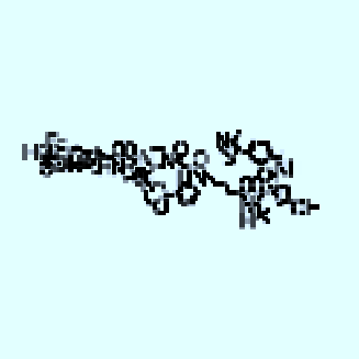 Cc1ncsc1-c1ccc([C@H](C)NC(=O)[C@@H]2C[C@@H](O)CN2C(=O)C(NC(=O)CCCCNC(=O)CC(=O)N2CCN(C(=O)C(NC(=O)c3cc4cc(C(F)(F)P(=O)(O)O)ccc4s3)C(C)(C)C)C(C(=O)N3CCOC(c4ccccc4)C3)C2)C(C)(C)C)cc1